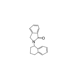 O=C1c2ccccc2CN1C1CCCc2ccccc21